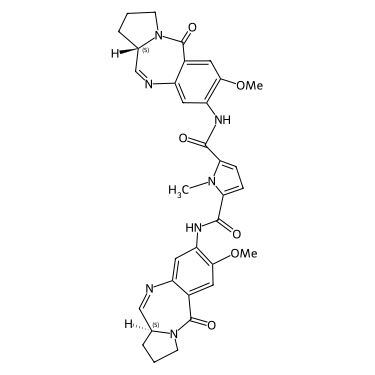 COc1cc2c(cc1NC(=O)c1ccc(C(=O)Nc3cc4c(cc3OC)C(=O)N3CCC[C@H]3C=N4)n1C)N=C[C@@H]1CCCN1C2=O